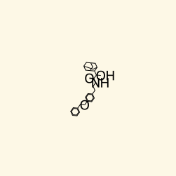 O=C(NCCc1ccc(OCc2ccccc2)cc1)C(O)C1C2CC3CC(C2)CC1C3